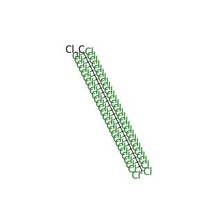 Cl[C](Cl)C(Cl)(Cl)C(Cl)(Cl)C(Cl)(Cl)C(Cl)(Cl)C(Cl)(Cl)C(Cl)(Cl)C(Cl)(Cl)C(Cl)(Cl)C(Cl)(Cl)C(Cl)(Cl)C(Cl)(Cl)C(Cl)(Cl)C(Cl)(Cl)C(Cl)(Cl)C(Cl)(Cl)C(Cl)(Cl)C(Cl)(Cl)C(Cl)(Cl)C(Cl)(Cl)C(Cl)(Cl)C(Cl)(Cl)C(Cl)(Cl)C(Cl)(Cl)C(Cl)(Cl)C(Cl)(Cl)C(Cl)(Cl)C(Cl)(Cl)C(Cl)(Cl)Cl